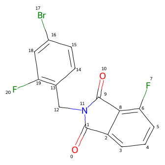 O=C1c2cccc(F)c2C(=O)N1Cc1ccc(Br)cc1F